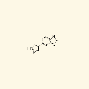 Cc1nc2ccc(-c3cn[nH]c3)cc2s1